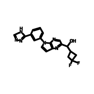 OC(c1cnc2c(ccn2-c2cccc(-c3nnc[nH]3)c2)n1)C1CC(F)(F)C1